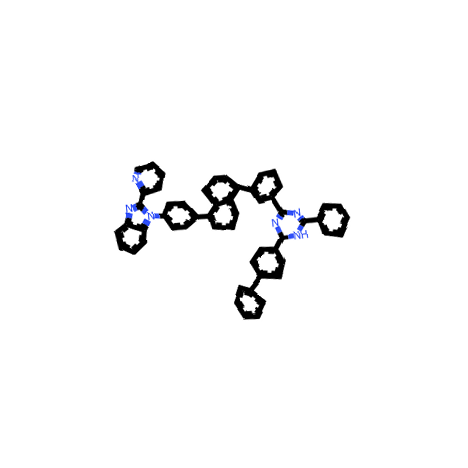 c1ccc(C2=NC(c3cccc(-c4cccc5c(-c6ccc(-n7c(-c8ccccn8)nc8ccccc87)cc6)cccc45)c3)=NC(c3ccc(-c4ccccc4)cc3)N2)cc1